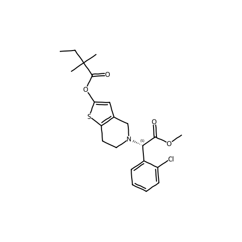 CCC(C)(C)C(=O)Oc1cc2c(s1)CCN([C@H](C(=O)OC)c1ccccc1Cl)C2